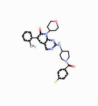 Cc1ccccc1-c1cc2cnc(NC3CCN(C(=O)c4ccc(F)cc4)CC3)nc2n(C2CCOCC2)c1=O